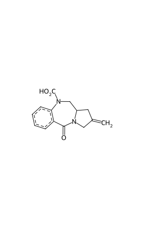 C=C1CC2CN(C(=O)O)c3ccccc3C(=O)N2C1